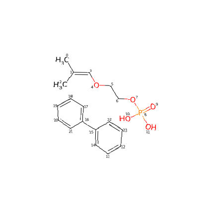 CC(C)=COCCOP(=O)(O)O.c1ccc(-c2ccccc2)cc1